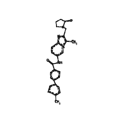 Cc1c(CN2CCCC2=O)nc2ccc(NC(=O)c3ccc(-c4ccc(C(F)(F)F)cc4)cc3)cn12